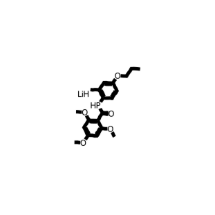 CCCOc1ccc(PC(=O)c2c(OC)cc(OC)cc2OC)c(C)c1.[LiH]